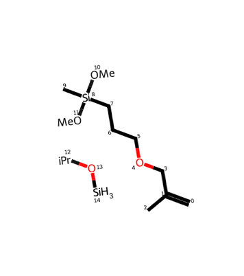 C=C(C)COCCC[Si](C)(OC)OC.CC(C)O[SiH3]